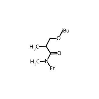 CCC(C)OCC(C)C(=O)N(C)CC